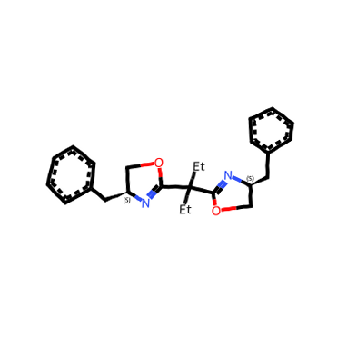 CCC(CC)(C1=N[C@@H](Cc2ccccc2)CO1)C1=N[C@@H](Cc2ccccc2)CO1